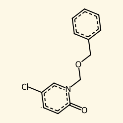 O=c1c[c]c(Cl)cn1COCc1ccccc1